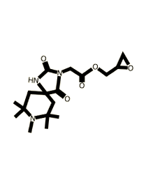 CN1C(C)(C)CC2(CC1(C)C)NC(=O)N(CC(=O)OCC1CO1)C2=O